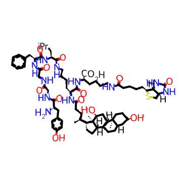 CC(C)C[C@H](NC(=O)[C@H](Cc1ccccc1)NC(=O)CNC(=O)CNC(=O)[C@@H](N)Cc1ccc(O)cc1)C(=O)NCCCC[C@H](NC(=O)CC[C@H](C)[C@H]1CC[C@H]2[C@@H]3CC[C@@H]4C[C@H](O)CC[C@]4(C)[C@H]3C[C@H](O)[C@]12C)C(=O)N[C@@H](CCCCNC(=O)CCCC[C@@H]1SC[C@@H]2NC(=O)N[C@@H]21)C(=O)O